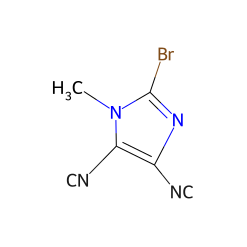 [C-]#[N+]c1nc(Br)n(C)c1[N+]#[C-]